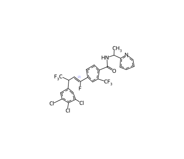 CC(NC(=O)c1ccc(/C(F)=C/C(c2cc(Cl)c(Cl)c(Cl)c2)C(F)(F)F)cc1C(F)(F)F)c1ccccn1